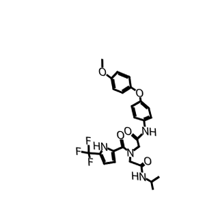 COc1ccc(Oc2ccc(NC(=O)CN(CC(=O)NC(C)C)C(=O)c3ccc(C(F)(F)F)[nH]3)cc2)cc1